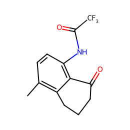 Cc1ccc(NC(=O)C(F)(F)F)c2c1CCCC2=O